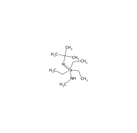 C[CH2][Ta]([CH2]C)([CH2]C)(=[N]C(C)(C)C)[NH]C